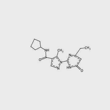 CCc1cc(=O)[nH]c(-n2ncc(C(=O)NC3CCCC3)c2C)n1